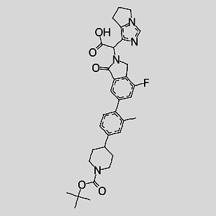 Cc1cc(C2CCN(C(=O)OC(C)(C)C)CC2)ccc1-c1cc(F)c2c(c1)C(=O)N(C(C(=O)O)c1ncn3c1CCC3)C2